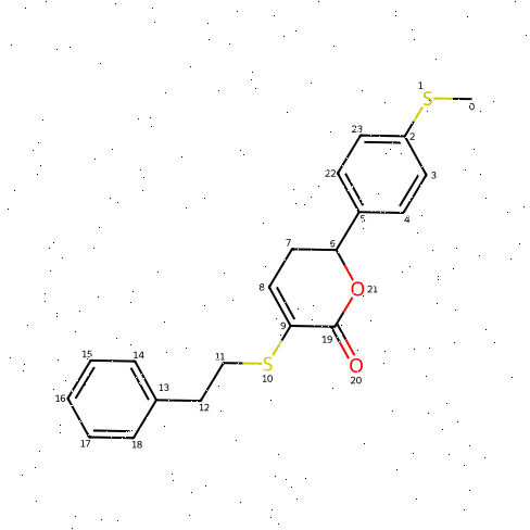 CSc1ccc(C2CC=C(SCCc3ccccc3)C(=O)O2)cc1